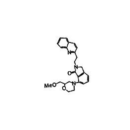 COCC1CN(c2cccc3c2C(=O)N(CCc2ccc4ccccc4n2)C3)CCO1